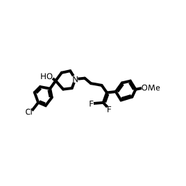 COc1ccc(C(CCCN2CCC(O)(c3ccc(Cl)cc3)CC2)=C(F)F)cc1